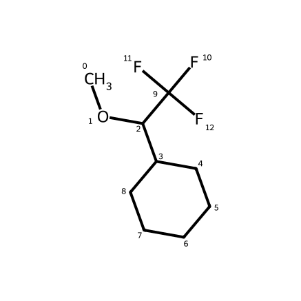 COC(C1CCCCC1)C(F)(F)F